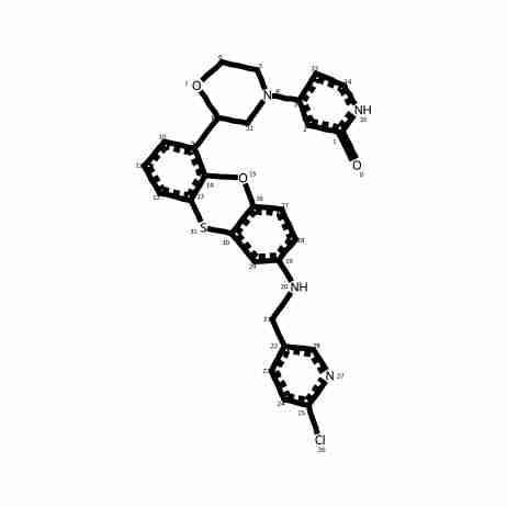 O=c1cc(N2CCOC(c3cccc4c3Oc3ccc(NCc5ccc(Cl)nc5)cc3S4)C2)cc[nH]1